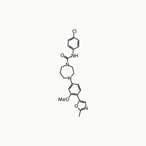 COc1cc(N2CCCN(C(=O)Nc3ccc(Cl)cc3)CC2)ccc1-c1cnc(C)o1